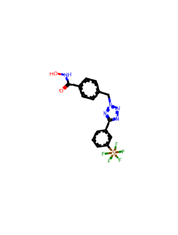 O=C(NO)c1ccc(Cn2nnc(-c3cccc(S(F)(F)(F)(F)F)c3)n2)cc1